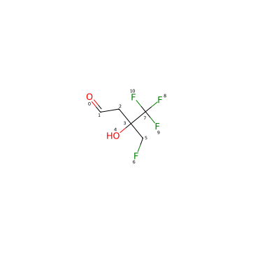 O=CCC(O)(CF)C(F)(F)F